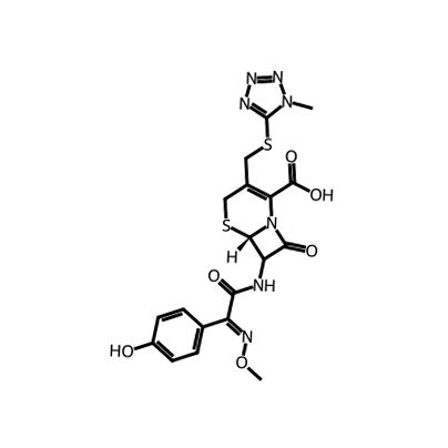 CON=C(C(=O)NC1C(=O)N2C(C(=O)O)=C(CSc3nnnn3C)CS[C@@H]12)c1ccc(O)cc1